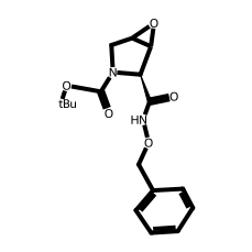 CC(C)(C)OC(=O)N1CC2OC2[C@H]1C(=O)NOCc1ccccc1